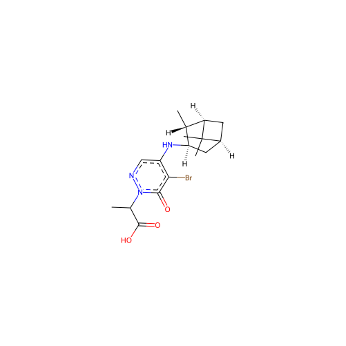 CC(C(=O)O)n1ncc(N[C@@H]2C[C@@H]3C[C@H]([C@H]2C)C3(C)C)c(Br)c1=O